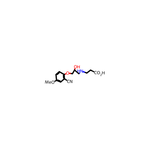 COc1ccc(OCC(O)CNCCC(=O)O)c(C#N)c1